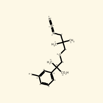 CC(C)(CN=[N+]=[N-])COCC(C)(C(=O)O)c1cccc(I)c1